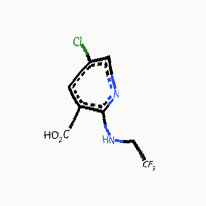 O=C(O)c1cc(Cl)cnc1NCC(F)(F)F